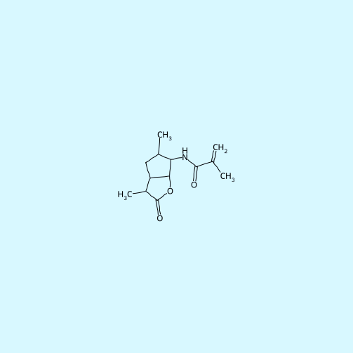 C=C(C)C(=O)NC1C(C)CC2C(C)C(=O)OC21